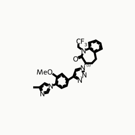 COc1cc(-c2cn([C@H]3CCc4ccccc4N(CC(F)(F)F)C3=O)nn2)ccc1-n1cnc(C)c1